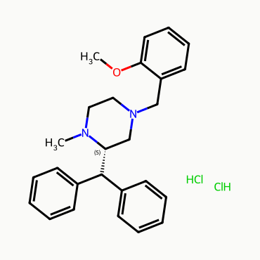 COc1ccccc1CN1CCN(C)[C@@H](C(c2ccccc2)c2ccccc2)C1.Cl.Cl